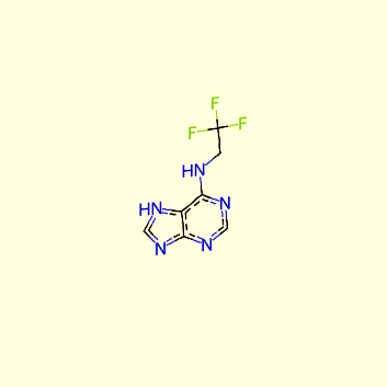 FC(F)(F)CNc1ncnc2nc[nH]c12